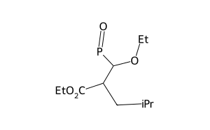 CCOC(=O)C(CC(C)C)C(OCC)P=O